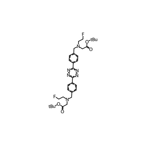 CC(C)(C)OC(=O)CN(CCF)Cc1ccc(-c2nnc(-c3ccc(CN(CCF)CC(=O)OC(C)(C)C)cc3)nn2)cc1